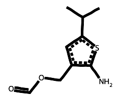 CC(C)c1cc(COC=O)c(N)s1